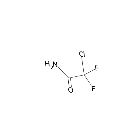 NC(=O)C(F)(F)Cl